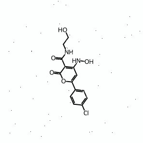 O=C(NCCO)c1c(NO)cc(-c2ccc(Cl)cc2)oc1=O